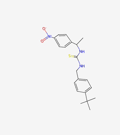 CC(NC(=S)NCc1ccc(C(C)(C)C)cc1)c1ccc([N+](=O)[O-])cc1